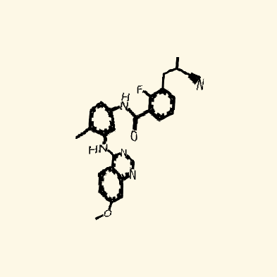 COc1ccc2c(Nc3cc(NC(=O)c4cccc(CC(C)C#N)c4F)ccc3C)ncnc2c1